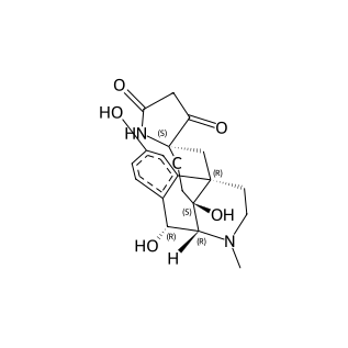 CN1CC[C@]23C[C@]4(CC[C@@]2(O)[C@H]1[C@H](O)c1ccc(O)cc13)NC(=O)CC4=O